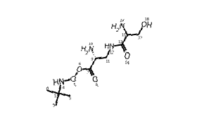 CC(C)(C)NOOC(=O)[C@H](N)CNC(=O)C(N)CO